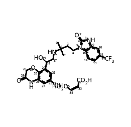 CC(C)(CCn1c(=O)[nH]c2cc(C(F)(F)F)ccc21)NC[C@H](O)c1cc(O)cc2c1OCC(=O)N2.O=C(O)/C=C\C(=O)O